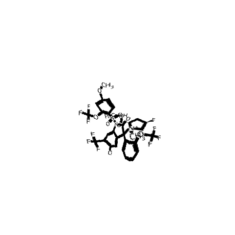 CNC(=O)[C@@H]1C[C@@H](F)C[N+]1(C)C1(c2ccccc2OC(F)(F)F)C(=O)N(S(=O)(=O)c2ccc(OC)cc2OC(F)(F)F)c2cc(C(F)(F)F)c(Cl)cc21